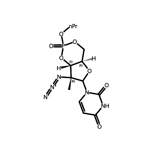 CCCOP1(=O)OC[C@H]2OC(n3ccc(=O)[nH]c3=O)[C@](C)(N=[N+]=[N-])[C@@H]2O1